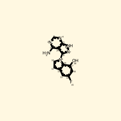 Nc1ncnc2[nH]nc(-n3ccc4cc(F)cc(O)c43)c12